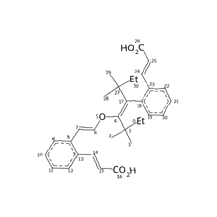 CCC(C)(C)C(OC=Cc1ccccc1C=CC(=O)O)=C(c1ccccc1C=CC(=O)O)C(C)(C)CC